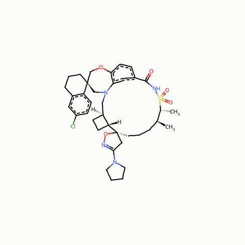 C[C@@H]1[C@@H](C)CCC[C@@]2(CC(N3CCCC3)=NO2)[C@@H]2CC[C@H]2CN2C[C@@]3(CCCc4cc(Cl)ccc43)COc3ccc(cc32)C(=O)NS1(=O)=O